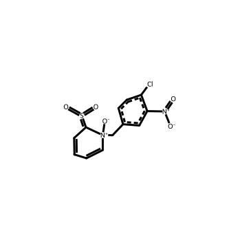 O=[N+]([O-])c1cc(C[N+]2([O-])C=CC=CC2=S(=O)=O)ccc1Cl